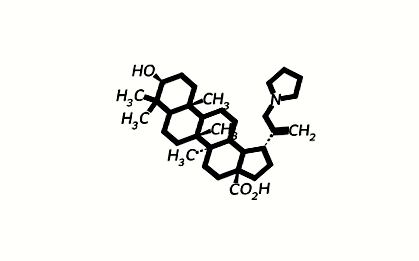 C=C(CN1CCCC1)[C@@H]1CC[C@]2(C(=O)O)CC[C@]3(C)C(CCC4[C@@]5(C)CC[C@H](O)C(C)(C)C5CC[C@]43C)C12